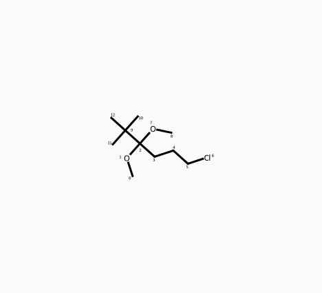 COC(CCCCl)(OC)C(C)(C)C